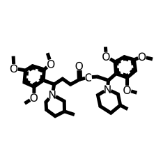 COc1cc(OC)c(C(CCC(=O)CCC(c2c(OC)cc(OC)cc2OC)N2CCCC(C)C2)N2CCCC(C)C2)c(OC)c1